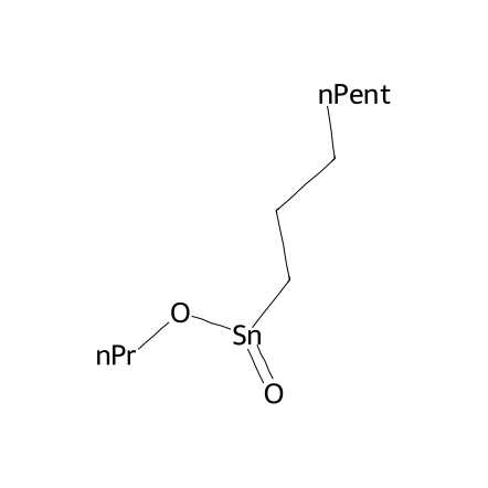 CCCCCCC[CH2][Sn](=[O])[O]CCC